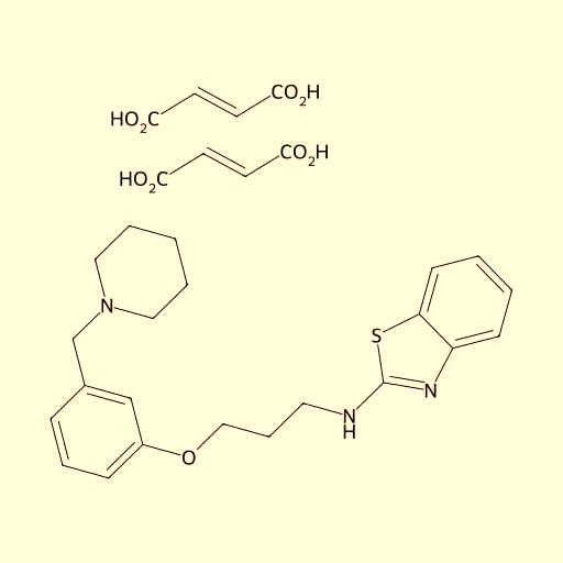 O=C(O)C=CC(=O)O.O=C(O)C=CC(=O)O.c1cc(CN2CCCCC2)cc(OCCCNc2nc3ccccc3s2)c1